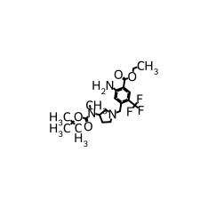 CCOC(=O)c1cc(C(F)(F)F)c(CN2CCC(N(C)C(=O)OC(C)(C)C)C2)cc1N